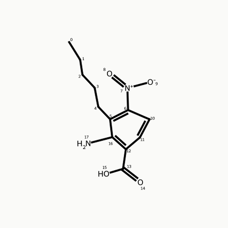 CCCCCc1c([N+](=O)[O-])ccc(C(=O)O)c1N